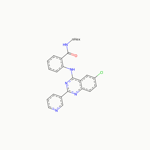 CCCCCCNC(=O)c1ccccc1Nc1nc(-c2cccnc2)nc2ccc(Cl)cc12